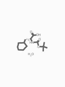 CC(C)(C)OC(=O)N[C@H](CC1CCCCC1)C(=O)O.O